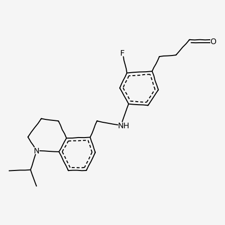 CC(C)N1CCCc2c(CNc3ccc(CCC=O)c(F)c3)cccc21